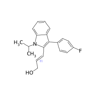 CC(C)n1c(/C=C/CO)c(-c2ccc(F)cc2)c2ccccc21